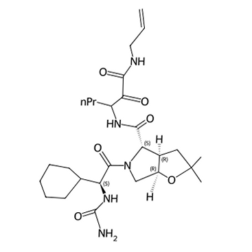 C=CCNC(=O)C(=O)C(CCC)NC(=O)[C@@H]1[C@H]2CC(C)(C)O[C@H]2CN1C(=O)[C@@H](NC(N)=O)C1CCCCC1